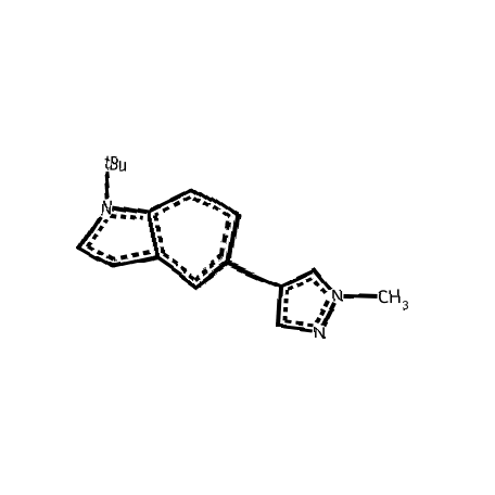 Cn1cc(-c2ccc3c(ccn3C(C)(C)C)c2)cn1